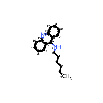 CCCCCCNc1c2ccccc2nc2ccccc12